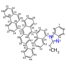 CCc1nc2ccccc2n1-c1ccc(-c2c3ccccc3c(-c3cccc4c3ccc3ccccc34)c3ccc(-c4ccccc4)cc23)c2ccccc12